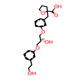 O=C(O)C1(Cc2cccc(OC[C@H](O)COc3cccc(CCO)c3)c2)CCCO1